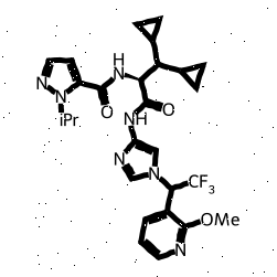 COc1ncccc1C(n1cnc(NC(=O)[C@@H](NC(=O)c2ccnn2C(C)C)C(C2CC2)C2CC2)c1)C(F)(F)F